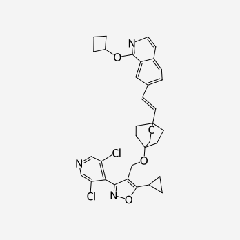 Clc1cncc(Cl)c1-c1noc(C2CC2)c1COC12CCC(/C=C/c3ccc4ccnc(OC5CCC5)c4c3)(CC1)CC2